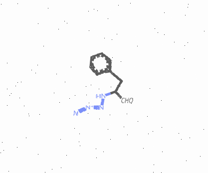 [N-]=[N+]=NNC(C=O)Cc1ccccc1